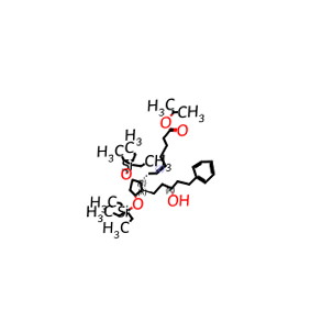 CC[Si](CC)(CC)OC1CC(O[Si](CC)(CC)CC)[C@H](CC[C@@H](O)CCc2ccccc2)[C@H]1C/C=C\CCCC(=O)OC(C)C